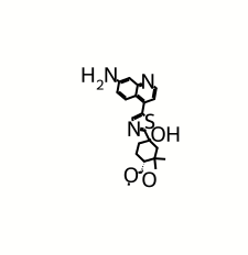 COC(=O)[C@@H]1CC[C@@](O)(c2ncc(-c3ccnc4cc(N)ccc34)s2)CC1(C)C